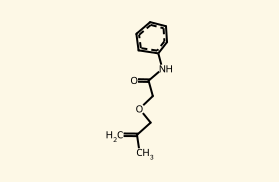 C=C(C)COCC(=O)Nc1ccccc1